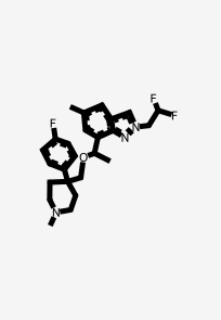 Cc1cc(C(C)OCC2(c3ccc(F)cc3)CCN(C)CC2)c2nn(CC(F)F)cc2c1